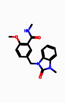 CNC(=O)c1cc(Cn2c(=O)n(C)c3ccccc32)ccc1OC